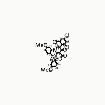 COC(=O)c1c(N(Cc2ccc(OC)cc2)Cc2ccc(OC)cc2)ncn(-c2c(Cl)cc(Cl)cc2Cl)c1=O